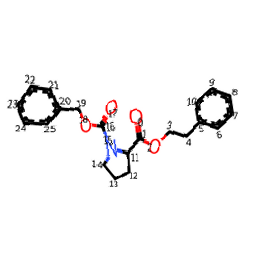 O=C(OCCc1ccccc1)C1CCCN1C(=O)OCc1ccccc1